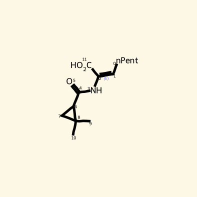 CCCCC/C=C(/NC(=O)C1CC1(C)C)C(=O)O